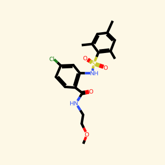 COCCNC(=O)c1ccc(Cl)cc1NS(=O)(=O)c1c(C)cc(C)cc1C